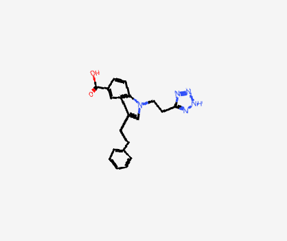 O=C(O)c1ccc2c(c1)c(CCc1ccccc1)cn2CCc1nn[nH]n1